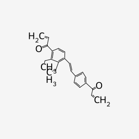 C=CC(=O)c1ccc(C=Cc2ccc(C(=O)C=C)c(CC)c2CC)cc1